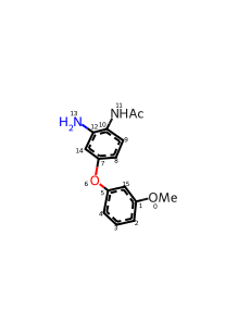 COc1cccc(Oc2ccc(NC(C)=O)c(N)c2)c1